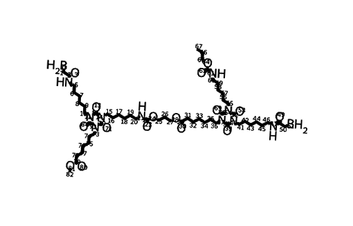 BCC(=O)NCCCCCCn1c(=O)n(CCCCCCNC(=O)OCCCOC(=O)CCCCCCn2c(=O)n(CCCCCCNC(=O)CB)c(=O)n(CCCCCCNC(=O)OCCC)c2=O)c(=O)n(CCCCCCC(=O)OC)c1=O